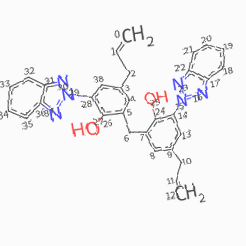 C=CCc1cc(Cc2cc(CC=C)cc(-n3nc4ccccc4n3)c2O)c(O)c(-n2nc3ccccc3n2)c1